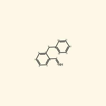 N=Cc1ccccc1Cc1ccccc1